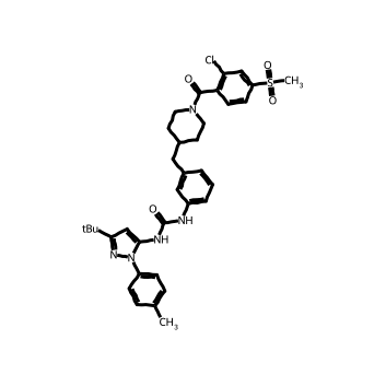 Cc1ccc(-n2nc(C(C)(C)C)cc2NC(=O)Nc2cccc(CC3CCN(C(=O)c4ccc(S(C)(=O)=O)cc4Cl)CC3)c2)cc1